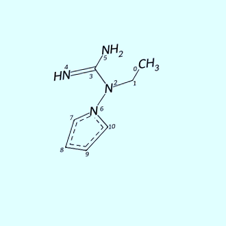 CCN(C(=N)N)n1cccc1